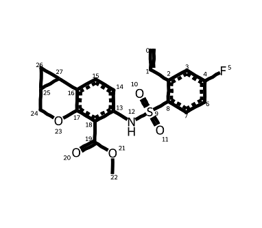 C=Cc1cc(F)ccc1S(=O)(=O)Nc1ccc2c(c1C(=O)OC)OCC1CC21